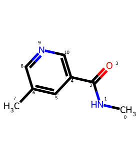 CNC(=O)c1[c]c(C)cnc1